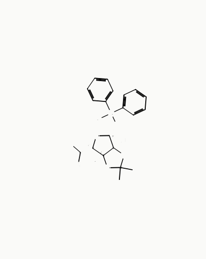 CC1(C)O[C@@H]2[C@@H](O[Si](c3ccccc3)(c3ccccc3)C(C)(C)C)O[C@@H](C(Br)C=O)[C@@H]2O1